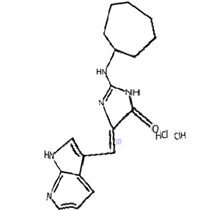 Cl.Cl.O=C1NC(NC2CCCCCC2)=N/C1=C\c1c[nH]c2ncccc12